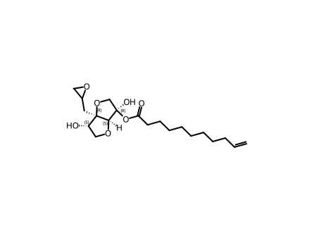 C=CCCCCCCCCC(=O)O[C@]1(O)CO[C@]2(CC3CO3)[C@@H](O)CO[C@@H]21